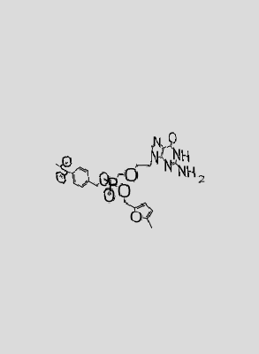 Cc1ccc(COP(=O)(COCCn2cnc3c(=O)[nH]c(N)nc32)OCc2ccc(S(C)(=O)=O)cc2)o1